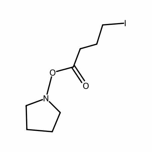 O=C(CCCI)ON1CCCC1